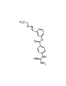 CCO/N=C/c1cccc(OC(=O)c2ccc(NC(=N)N)cc2)c1